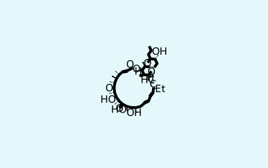 CC[C@@H]1/C=C/C=C/C[C@H](C)[C@@H](O)[C@](C)(O)C(=O)[C@H](C)[C@@H](O)[C@H](C)C(=O)[C@H](C)[C@@H](C)[C@H](C)/C=C/C(=O)O[C@H]2[C@@H](C)[C@@H](CC1)O[C@@]1(CC[C@@H](C)C(CC(C)O)O1)[C@@H]2C